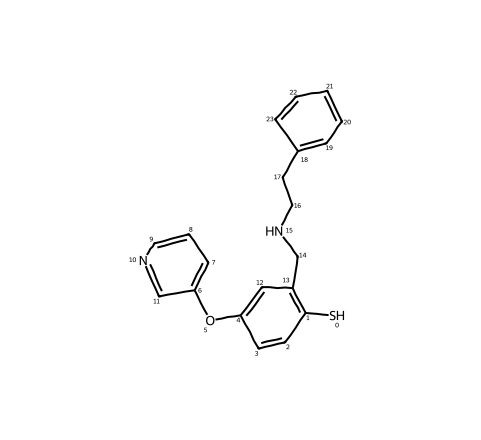 Sc1ccc(Oc2cccnc2)cc1CNCCc1ccccc1